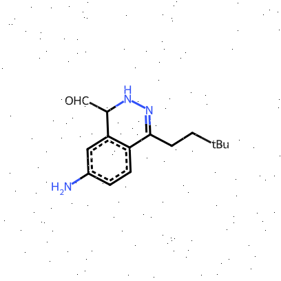 CC(C)(C)CCC1=NNC(C=O)c2cc(N)ccc21